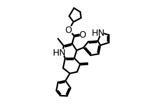 C=C1CC(c2ccccc2)CC2=C1C(c1ccc3cc[nH]c3c1)C(C(=O)OC1CCCC1)=C(C)N2